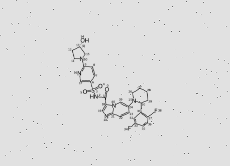 O=C(NS(=O)(=O)c1ccc(N2CC[C@H](O)C2)nc1)c1cnc2ccc(N3CCCCC3c3cc(F)ccc3F)cn12